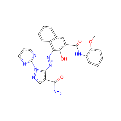 COc1ccccc1NC(=O)c1cc2ccccc2c(/N=N/c2c(C(N)=O)cnn2-c2ncccn2)c1O